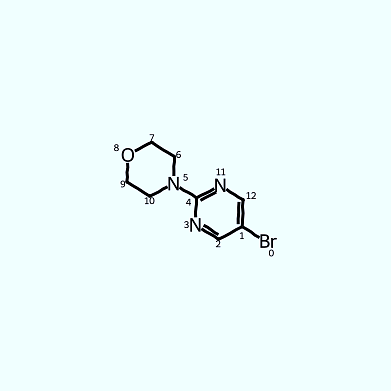 Brc1cnc(N2CCOCC2)nc1